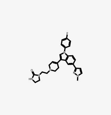 Cn1ccc(-c2ccc3c(c2)c(C2=CCN(CCN4CCNC4=O)CC2)cn3-c2ccc(F)cc2)n1